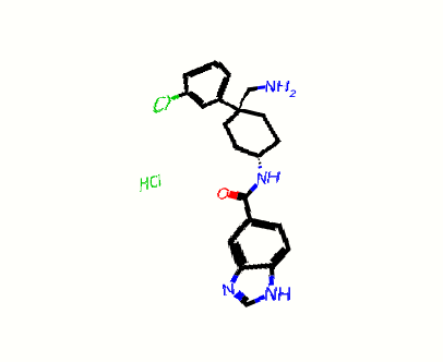 Cl.NC[C@]1(c2cccc(Cl)c2)CC[C@@H](NC(=O)c2ccc3[nH]cnc3c2)CC1